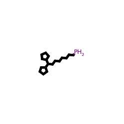 PCCCCCCCC(C1CCCC1)C1CCCC1